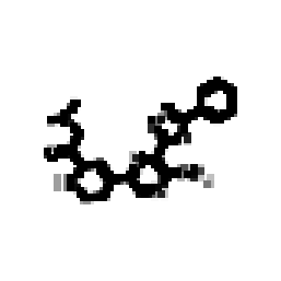 CN(C)CC(=O)C1C=C(c2cnc(N)c(-c3nnc(-c4ccccc4)o3)n2)CCN1